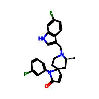 C[C@@H]1C[C@]2(C=CC(=O)N2c2cccc(F)c2)CCN1Cc1c[nH]c2cc(F)ccc12